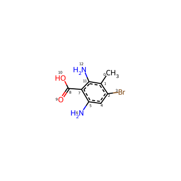 Cc1c(Br)cc(N)c(C(=O)O)c1N